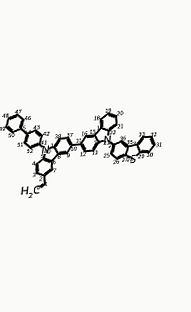 C=Cc1ccc2c(c1)c1cc(-c3ccc4c(c3)c3ccccc3n4-c3ccc4sc5ccccc5c4c3)ccc1n2-c1ccc(-c2ccccc2)cc1